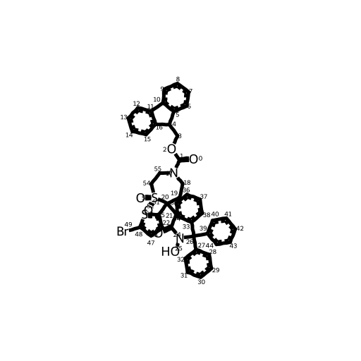 O=C(OCC1c2ccccc2-c2ccccc21)N1CCC(CC(=O)N(O)C(c2ccccc2)(c2ccccc2)c2ccccc2)(c2ccc(Br)s2)S(=O)(=O)CC1